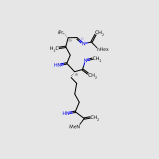 C=NC(=C)[C@H](CCCCC(=N)C(=C)NC)C(=N)CC(=C)[C@@H](/C=N/C(=C)CCCCCC)C(C)C